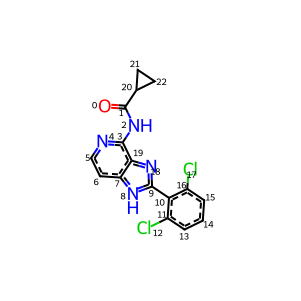 O=C(Nc1nccc2[nH]c(-c3c(Cl)cccc3Cl)nc12)C1CC1